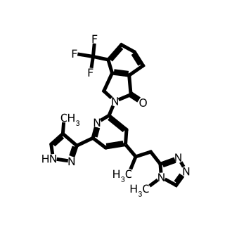 Cc1c[nH]nc1-c1cc(C(C)Cc2nncn2C)cc(N2Cc3c(cccc3C(F)(F)F)C2=O)n1